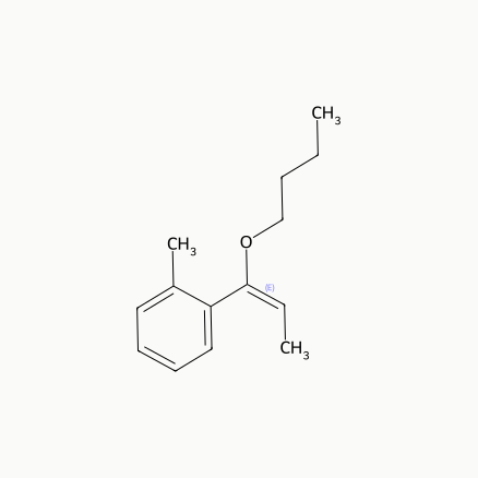 C/C=C(/OCCCC)c1ccccc1C